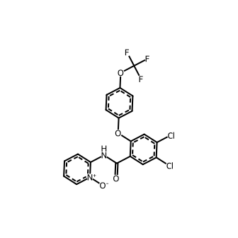 O=C(Nc1cccc[n+]1[O-])c1cc(Cl)c(Cl)cc1Oc1ccc(OC(F)(F)F)cc1